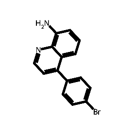 Nc1cccc2c(-c3ccc(Br)cc3)ccnc12